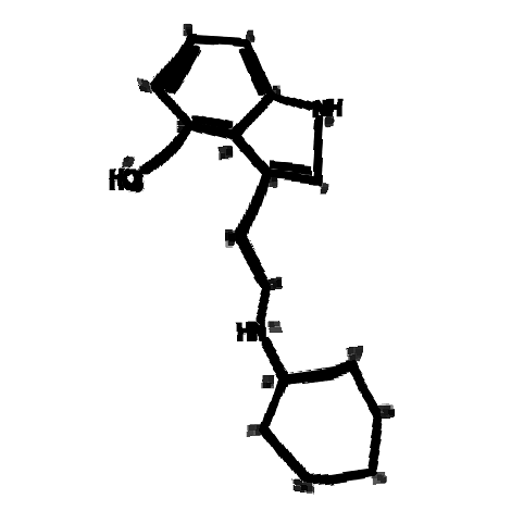 Oc1cccc2[nH]cc(CCNC3CCCCC3)c12